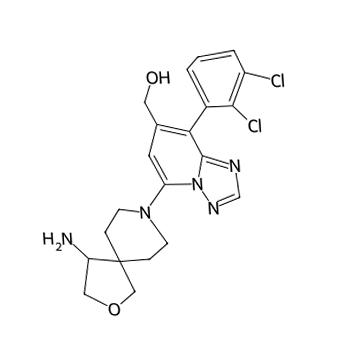 NC1COCC12CCN(c1cc(CO)c(-c3cccc(Cl)c3Cl)c3ncnn13)CC2